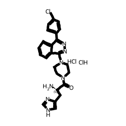 Cl.Cl.N[C@@H](Cc1c[nH]cn1)C(=O)N1CCN(c2nnc(-c3ccc(Cl)cc3)c3ccccc23)CC1